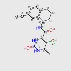 C=C1NC(=O)NC(C(=O)N[C@@H]2CCCc3ccc(OC)cc32)=C1O